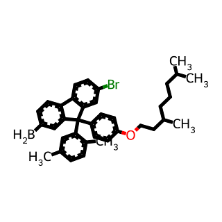 Bc1ccc2c(c1)C(c1ccc(OCCC(C)CCCC(C)C)cc1)(c1cc(C)ccc1C)c1cc(Br)ccc1-2